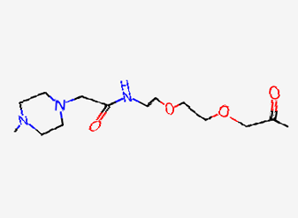 CC(=O)COCCOCCNC(=O)CN1CCN(C)CC1